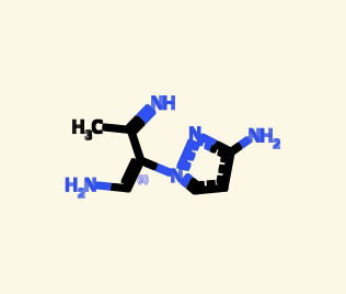 CC(=N)/C(=C\N)n1ccc(N)n1